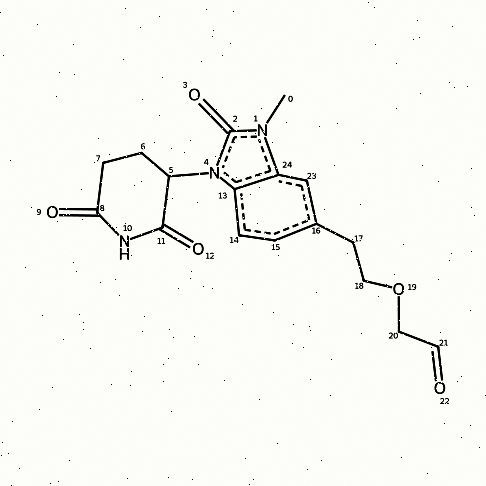 Cn1c(=O)n(C2CCC(=O)NC2=O)c2ccc(CCOCC=O)cc21